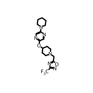 FC(F)(F)c1noc(CN2CCC(Oc3cnc(N4CCCCC4)cn3)CC2)n1